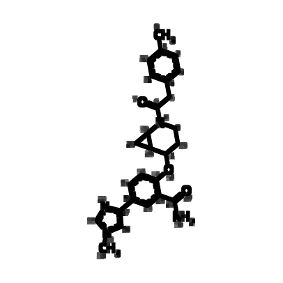 Cc1ccc(CC(=O)N2CCC(Oc3ccc(-c4cn(C)cn4)cc3C(N)=O)C3CC32)cc1